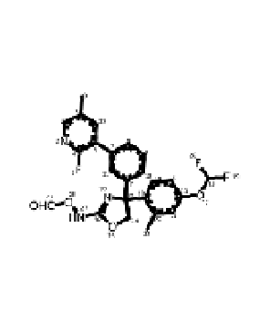 Cc1cnc(F)c(-c2cccc(C3(c4ccc(OC(F)F)cc4C)COC(NOC=O)=N3)c2)c1